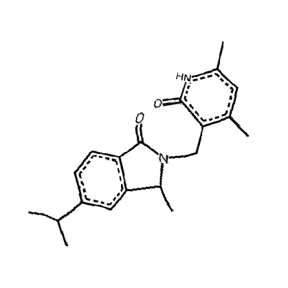 Cc1cc(C)c(CN2C(=O)c3ccc(C(C)C)cc3C2C)c(=O)[nH]1